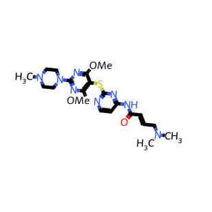 COc1nc(N2CCN(C)CC2)nc(OC)c1Sc1nccc(NC(=O)/C=C/CN(C)C)n1